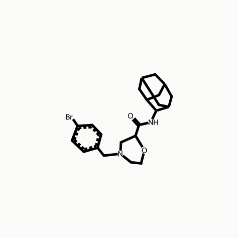 O=C(NC1C2CC3CC(C2)CC1C3)C1CN(Cc2ccc(Br)cc2)CCO1